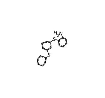 Nc1ccccc1Sc1cccc(Sc2ccccc2)c1